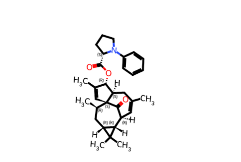 CC1=C[C@@H]2C(=O)[C@]3(C=C(C)[C@H](OC(=O)[C@@H]4CCCN4c4ccccc4)[C@H]3C1)[C@H](C)C[C@@H]1[C@H]2C1(C)C